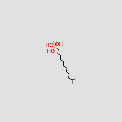 CC(C)CCCCCCCCCC[PH](O)(O)O